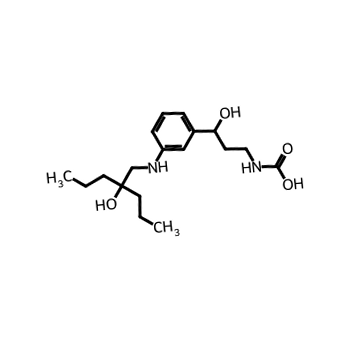 CCCC(O)(CCC)CNc1cccc(C(O)CCNC(=O)O)c1